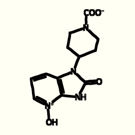 O=C([O-])N1CCC(n2c(=O)[nH]c3c2ccc[n+]3O)CC1